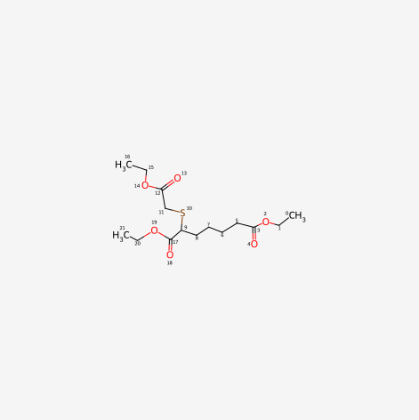 CCOC(=O)CCCCC(SCC(=O)OCC)C(=O)OCC